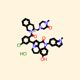 CN1CCN(C[C@@H]2Cc3ccccc3CN2C(=O)c2ccc(Cl)cc2-c2cc(C(=O)N(c3ccc(O)cc3)c3ccc4c(ccn4C)c3)c3n2CCCC3)CC1=O.Cl